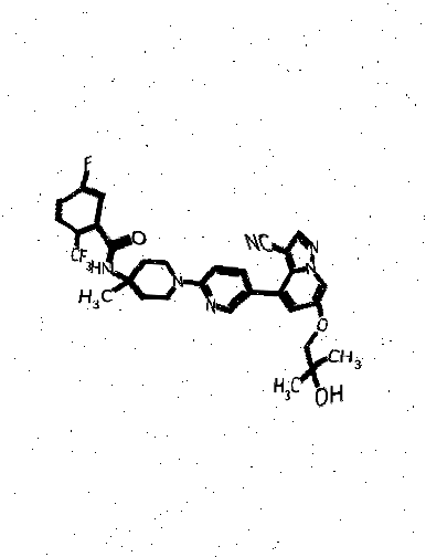 CC(C)(O)COc1cc(-c2ccc(N3CCC(C)(NC(=O)C4CC(F)CCC4C(F)(F)F)CC3)nc2)c2c(C#N)cnn2c1